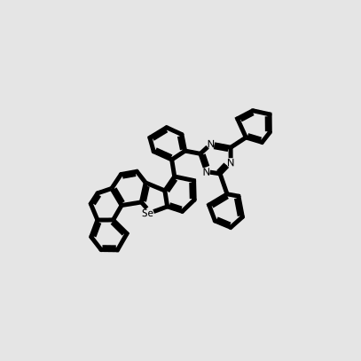 c1ccc(-c2nc(-c3ccccc3)nc(-c3ccccc3-c3cccc4[se]c5c(ccc6ccc7ccccc7c65)c34)n2)cc1